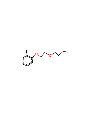 CCCCOCCOc1ccccc1C